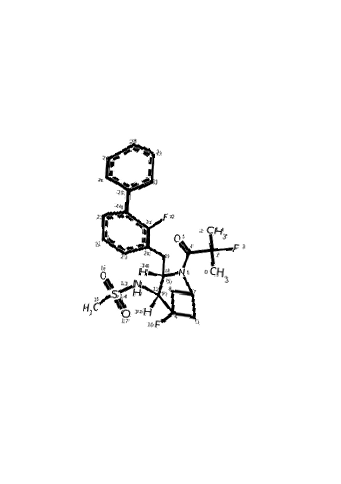 CC(C)(F)C(=O)N1C2CC(F)(C2)[C@H](NS(C)(=O)=O)[C@@H]1Cc1cccc(-c2ccccc2)c1F